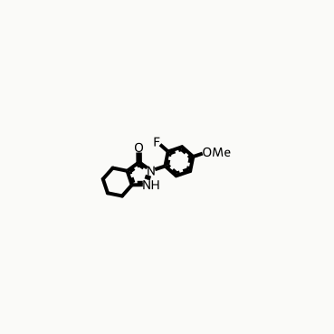 COc1ccc(-n2[nH]c3c(c2=O)CCCC3)c(F)c1